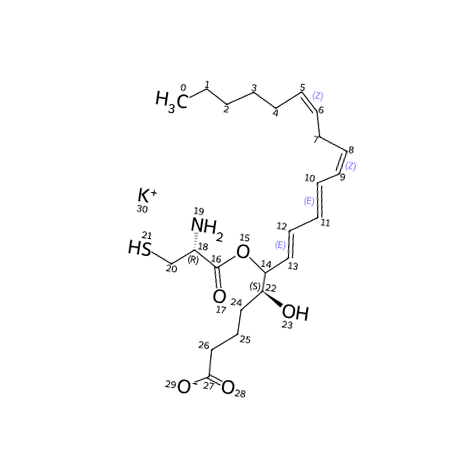 CCCCC/C=C\C\C=C/C=C/C=C/C(OC(=O)[C@@H](N)CS)[C@@H](O)CCCC(=O)[O-].[K+]